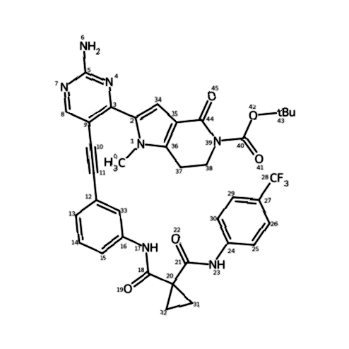 Cn1c(-c2nc(N)ncc2C#Cc2cccc(NC(=O)C3(C(=O)Nc4ccc(C(F)(F)F)cc4)CC3)c2)cc2c1CCN(C(=O)OC(C)(C)C)C2=O